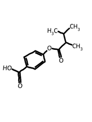 CC(C)C(C)C(=O)Oc1ccc(C(=O)O)cc1